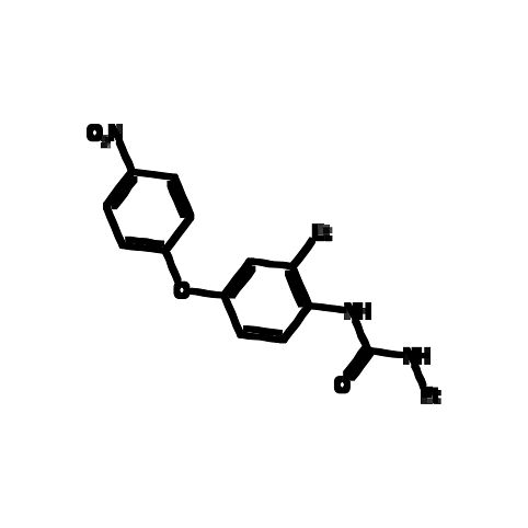 CCNC(=O)Nc1ccc(Oc2ccc([N+](=O)[O-])cc2)cc1CC